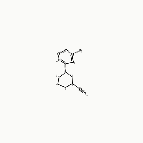 N#CC1CCOC(c2cc(Br)ccn2)C1